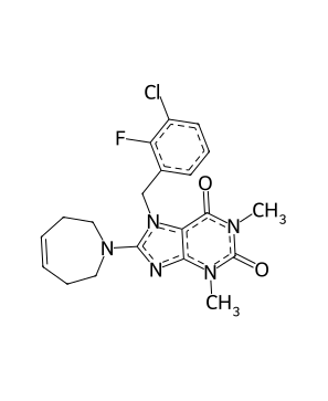 Cn1c(=O)c2c(nc(N3CCC=CCC3)n2Cc2cccc(Cl)c2F)n(C)c1=O